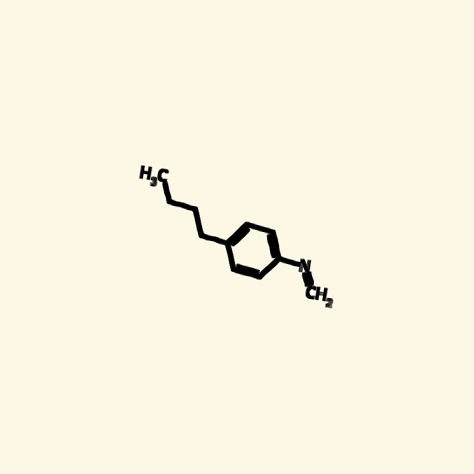 C=Nc1ccc(CCCC)cc1